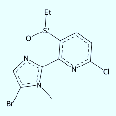 CC[S+]([O-])c1ccc(Cl)nc1-c1ncc(Br)n1C